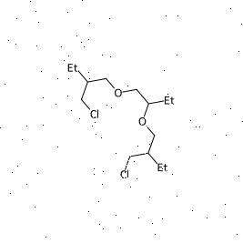 CCC(CCl)COCC(CC)OCC(CC)CCl